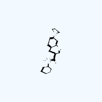 O=C(NC1CCCCC1)c1cnc2cc(N3CCC3)ccc2c1